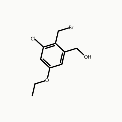 CCOc1cc(Cl)c(CBr)c(CO)c1